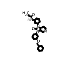 C=CC(=O)Nc1cccc(-n2c(=O)n(-c3cccc(OCc4ccccc4)c3)c3cnccc32)c1